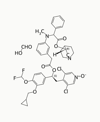 CN(c1cccc(CC(=O)O[C@@H](Cc2c(Cl)c[n+]([O-])cc2Cl)c2ccc(OC(F)F)c(OCC3CC3)c2)c1)C(C(=O)O[C@H]1CN2CCC1CC2)c1ccccc1.O=CO